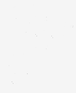 C[C@@]1(Cc2ccc([N+](=O)[O-])cc2)C(=O)N(CC(=O)O)C(=O)N1Cc1ccccc1